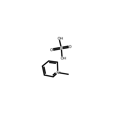 C[n+]1ccccc1.O=S(=O)(O)O